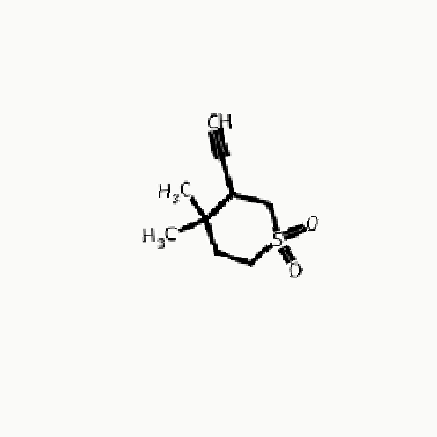 C#CC1CS(=O)(=O)CCC1(C)C